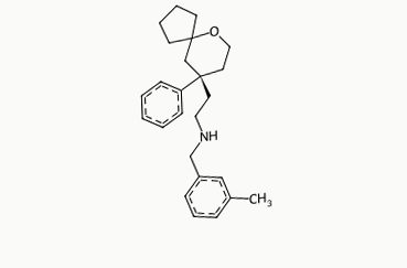 Cc1cccc(CNCC[C@]2(c3ccccc3)CCOC3(CCCC3)C2)c1